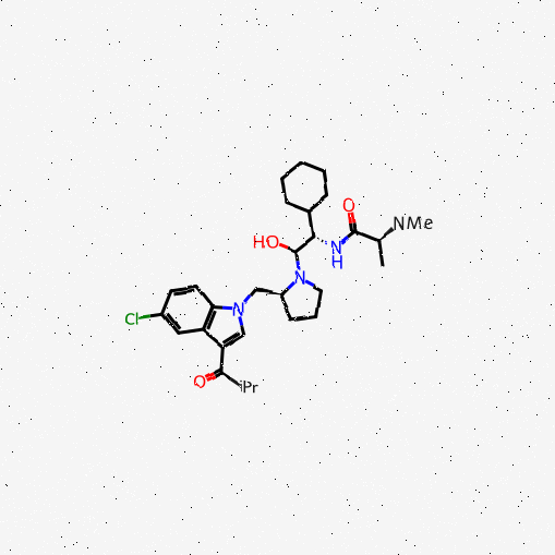 CN[C@@H](C)C(=O)N[C@@H](C1CCCCC1)C(O)N1CCC[C@H]1Cn1cc(C(=O)C(C)C)c2cc(Cl)ccc21